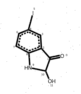 O=C1c2cc(I)ccc2NC1O